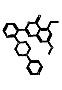 CCc1cc(OC)cc2nc(-c3cccnc3N3CCN(c4ccncc4)CC3)oc(=O)c12